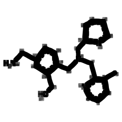 Cc1cccnc1CN(Cc1ccccn1)Cc1ccc(CN)cc1CO